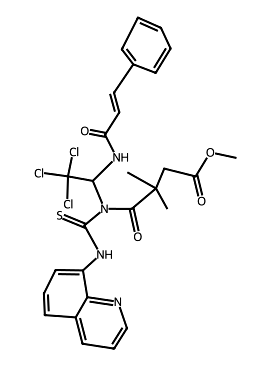 COC(=O)CC(C)(C)C(=O)N(C(=S)Nc1cccc2cccnc12)C(NC(=O)/C=C/c1ccccc1)C(Cl)(Cl)Cl